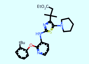 CCOC(=O)CC(C)(C)c1nc(Nc2cccnc2Oc2ccccc2C(C)(C)C)sc1N1CCCCC1